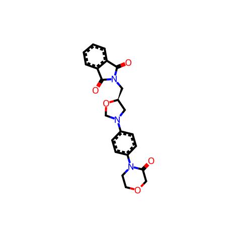 O=C1c2ccccc2C(=O)N1C[C@H]1CN(c2ccc(N3CCOCC3=O)cc2)CO1